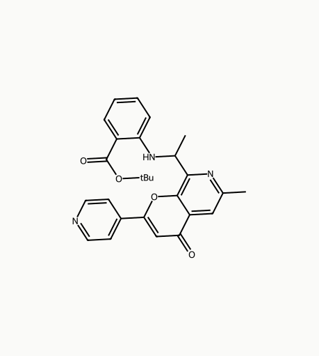 Cc1cc2c(=O)cc(-c3ccncc3)oc2c(C(C)Nc2ccccc2C(=O)OC(C)(C)C)n1